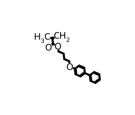 C=C(C)C(=O)OCCCCOc1ccc(-c2ccccc2)cc1